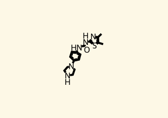 Cc1nc(NC(=O)Nc2ccc(N3CCNCC3)cc2)sc1C